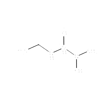 CCN[SiH](Cl)N(C)C